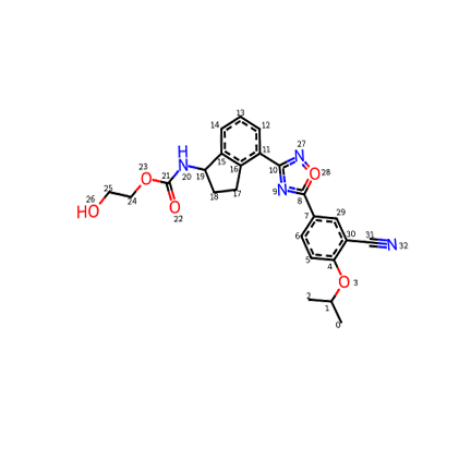 CC(C)Oc1ccc(-c2nc(-c3cccc4c3CCC4NC(=O)OCCO)no2)cc1C#N